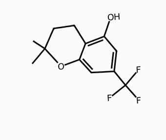 CC1(C)CCc2c(O)cc(C(F)(F)F)cc2O1